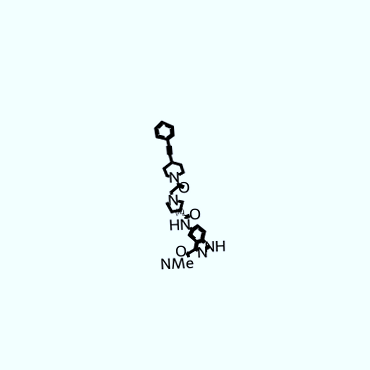 CNC(=O)c1n[nH]c2ccc(NC(=O)[C@@H]3CCN(CC(=O)N4CCC(C#Cc5ccccc5)CC4)C3)cc12